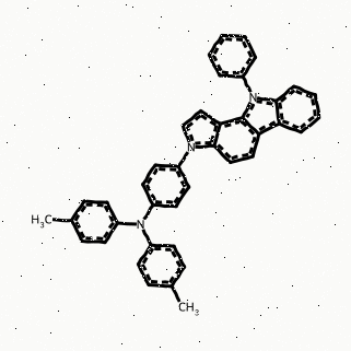 Cc1ccc(N(c2ccc(C)cc2)c2ccc(-n3ccc4c3ccc3c5ccccc5n(-c5ccccc5)c34)cc2)cc1